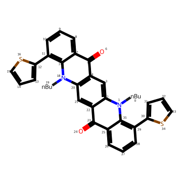 CCCCn1c2cc3c(=O)c4cccc(-c5cccs5)c4n(CCCC)c3cc2c(=O)c2cccc(-c3cccs3)c21